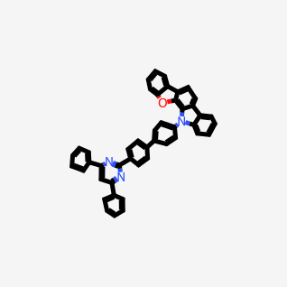 c1ccc(-c2cc(-c3ccccc3)nc(-c3ccc(-c4ccc(-n5c6ccccc6c6ccc7c8ccccc8oc7c65)cc4)cc3)n2)cc1